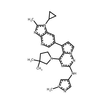 Cc1nc2ncc(-c3ccn4nc(Nc5cnn(C)c5)nc(N5CCC(C)(C)C5)c34)cc2n1C1CC1